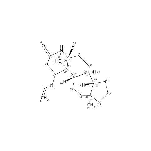 C=COC1CC(=O)N[C@@H]2CC[C@H]3[C@@H]4CCC[C@@]4(C)CC[C@@H]3[C@@]12C